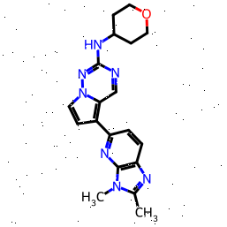 Cc1nc2ccc(-c3ccn4nc(NC5CCOCC5)ncc34)nc2n1C